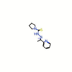 C/C(=N\NC(=S)N1CCCC1)c1ccccn1